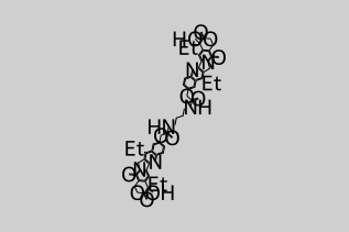 CCc1c2c(nc3ccc(OC(=O)NCCCCNC(=O)Oc4ccc5nc6c(c(CC)c5c4)Cn4c-6cc5c(c4=O)COC(=O)C5(O)CC)cc13)-c1cc3c(c(=O)n1C2)COC(=O)C3(O)CC